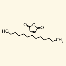 CCCCCCCCCCCCO.O=C1C=CC(=O)O1